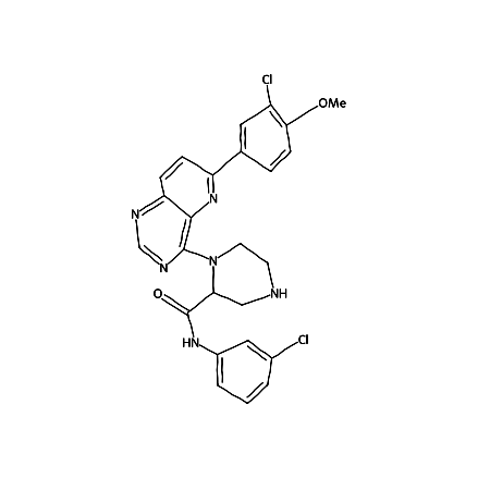 COc1ccc(-c2ccc3ncnc(N4CCNCC4C(=O)Nc4cccc(Cl)c4)c3n2)cc1Cl